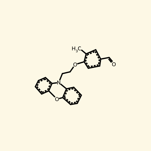 Cc1cc(C=O)ccc1OCCN1c2ccccc2Oc2ccccc21